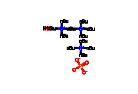 CCCC[N+](CCCC)(CCCC)CCCC.CCCC[N+](CCCC)(CCCC)CCCC.CCCC[N+](CCCC)(CCCC)CCCC.O=P([O-])([O-])[O-].[H+].[OH-]